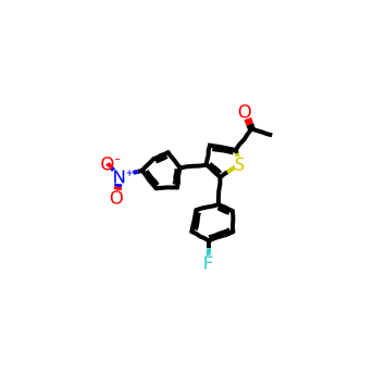 CC(=O)c1cc(-c2ccc([N+](=O)[O-])cc2)c(-c2ccc(F)cc2)s1